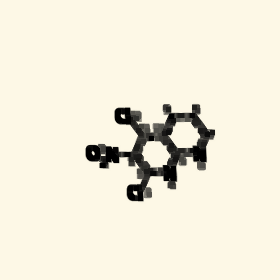 O=[N+]([O-])c1c(Cl)nc2ncccc2c1Cl